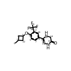 CC1CC(Oc2ccc(C3=NNC(=O)CN3)cc2C(F)(F)F)C1